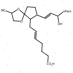 CCCCCC(O)/C=C/C1CCC2(OCC(C#N)O2)C1C/C=C/CCCC(=O)O